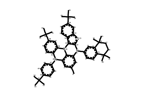 Cc1cc2c3c(c1)N(c1ccc4c(c1)C(C)(C)CCC4(C)C)c1sc4cc(C(C)(C)C)ccc4c1B3c1cc(C(C)(C)C)ccc1N2c1ccc(C(C)(C)C)cc1